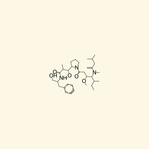 C=C(CC(C)C)N(C)C(C(C)CC)C(CC(=O)N1CCCC1C(OC)C(C)C(=O)NC(CO)Cc1cc#ccc1)OC